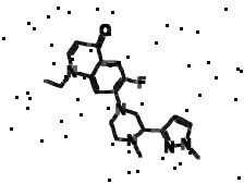 CCn1ccc(=O)c2cc(F)c(N3CCN(C)C(c4ccn(C)n4)C3)cc21